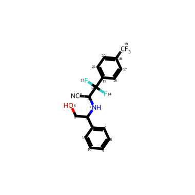 N#CC(NC(CO)c1ccccc1)C(F)(F)c1ccc(C(F)(F)F)cc1